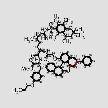 C=CCOc1ccc(C[C@H](NC(=O)[C@@H](CC[C@H](C)NC(=N)NS(=O)(=O)c2c(C)c(C)c3c(c2C)[C@H](C)CC(C)(C)O3)NC(=O)COc2ccc3ccccc3c2-c2c(OC/C=C/c3ccccc3)ccc3ccccc23)C(=O)OC)cc1